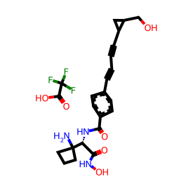 NC1([C@H](NC(=O)c2ccc(C#CC#CC3CC3CO)cc2)C(=O)NO)CCC1.O=C(O)C(F)(F)F